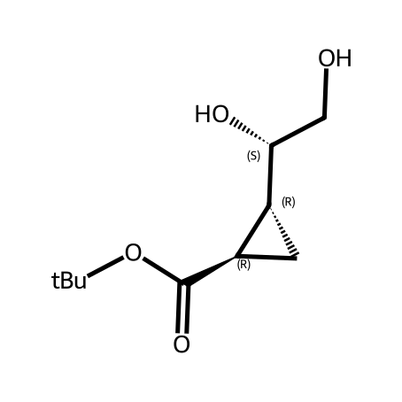 CC(C)(C)OC(=O)[C@@H]1C[C@H]1[C@H](O)CO